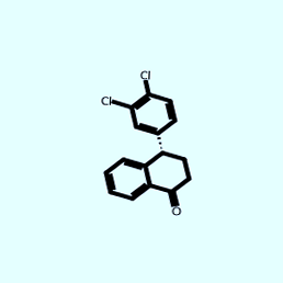 O=C1CC[C@@H](c2ccc(Cl)c(Cl)c2)c2ccccc21